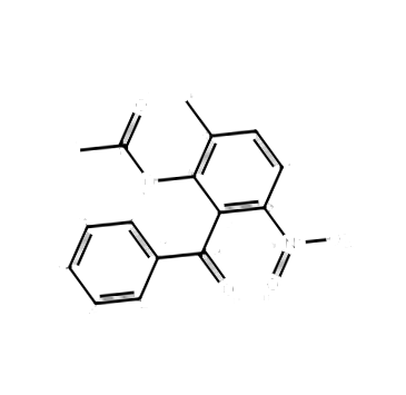 CC(=O)Oc1c(C)ccc([N+](=O)[O-])c1C(=O)c1ccccc1